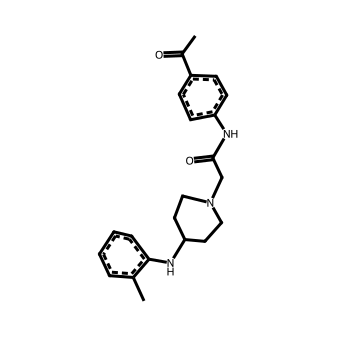 CC(=O)c1ccc(NC(=O)CN2CCC(Nc3ccccc3C)CC2)cc1